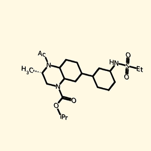 CCS(=O)(=O)NC1CCCC(C2CCC3C(C2)N(C(=O)OC(C)C)C[C@H](C)N3C(C)=O)C1